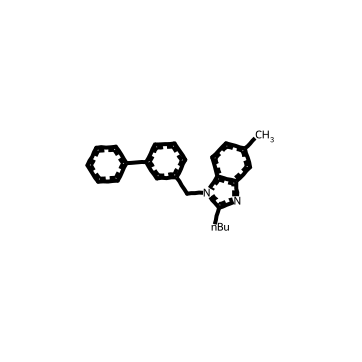 CCCCc1nc2cc(C)ccc2n1Cc1cccc(-c2ccccc2)c1